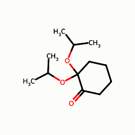 CC(C)OC1(OC(C)C)CCCCC1=O